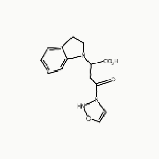 O=C(O)C(CC(=O)N1C=CON1)N1CCc2ccccc21